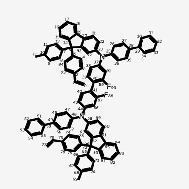 C=Cc1ccc(C2(c3ccc(C)cc3)c3ccccc3-c3ccc(N(c4ccc(-c5ccccc5)cc4)c4ccc(-c5ccc(N(c6ccc(-c7ccccc7)cc6)c6ccc7c(c6)C(c6ccc(C)cc6)(c6ccc(C=C)cc6)c6ccccc6-7)cc5F)c(F)c4)cc32)cc1